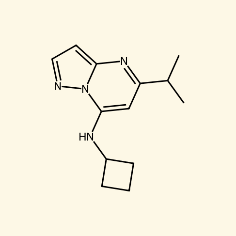 CC(C)c1cc(NC2CCC2)n2nccc2n1